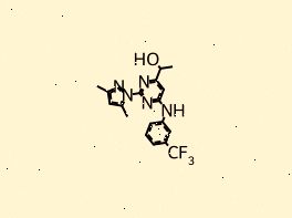 Cc1cc(C)n(-c2nc(Nc3cccc(C(F)(F)F)c3)cc(C(C)O)n2)n1